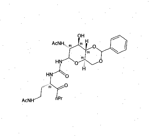 CCCC(=O)[C@H](CCNC(C)=O)NC(=O)NC1O[C@@H]2COC(c3ccccc3)O[C@H]2[C@H](O)[C@H]1NC(C)=O